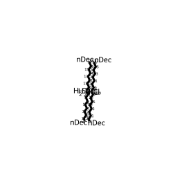 CCCCCCCCCCCCCCCCCC[SiH2]CCCCCCCCCCCCCCCCCC.CCCCCCCCCCCCCCCCCC[SiH2]CCCCCCCCCCCCCCCCCC.Cl.Cl